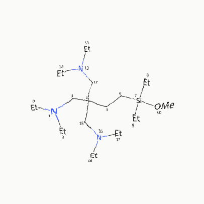 CCN(CC)CC(CC[Si](CC)(CC)OC)(CN(CC)CC)CN(CC)CC